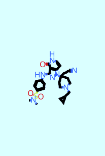 CN(C)S(=O)(=O)c1ccc(Nc2nn(C3(CC#N)CCN(CC4CC4)CC3)c3cc[nH]c(=O)c23)cc1